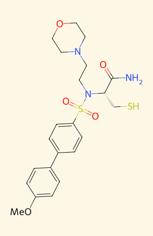 COc1ccc(-c2ccc(S(=O)(=O)N(CCN3CCOCC3)[C@@H](CS)C(N)=O)cc2)cc1